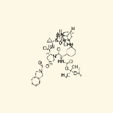 CC(C)(C)OC(=O)N[C@H](C(=O)N1C[C@H](OC(=O)N2Cc3ccccc3C2)C[C@H]1C(=O)NC1(B2O[C@@H]3C[C@@H]4C[C@@H](C4(C)C)[C@]3(C)O2)CC1)C1CCCCC1